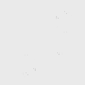 N.NNC(=O)CCCCC(=O)NN